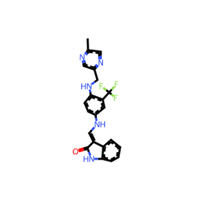 Cc1cnc(CNc2ccc(N/C=C3/C(=O)Nc4ccccc43)cc2C(F)(F)F)cn1